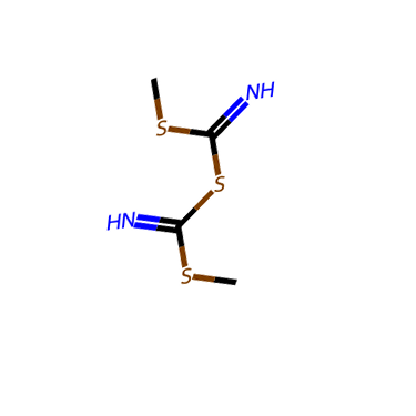 CSC(=N)SC(=N)SC